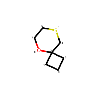 C1CC2(C1)CSCCO2